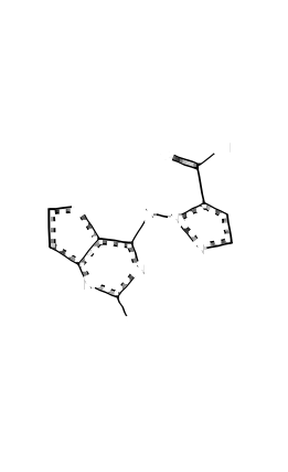 O=C(O)c1ccnn1Nc1nc(Cl)nc2ccoc12